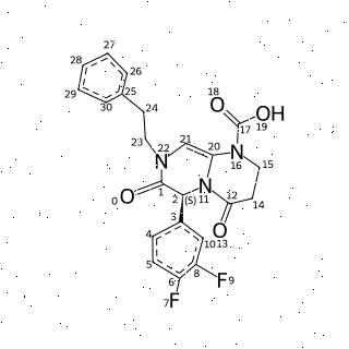 O=C1[C@H](c2ccc(F)c(F)c2)N2C(=O)CCN(C(=O)O)C2=CN1CCc1ccccc1